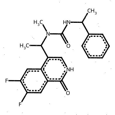 CC(NC(=O)N(C)C(C)c1c[nH]c(=O)c2cc(F)c(F)cc12)c1ccccc1